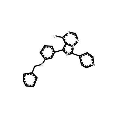 Nc1ncnn2c(-c3ccncc3)nc(-c3cccc(OCc4ccccc4)c3)c12